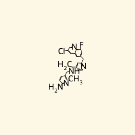 C=C(NCc1ccc(N)nc1C)c1ccnc(Cc2cc(F)c3ncc(Cl)cc3c2)c1